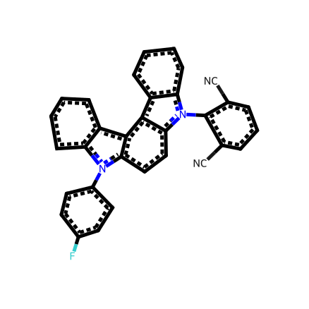 N#Cc1cccc(C#N)c1-n1c2ccccc2c2c3c4ccccc4n(-c4ccc(F)cc4)c3ccc21